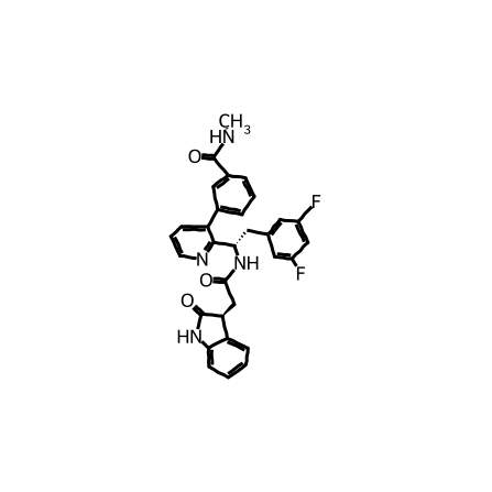 CNC(=O)c1cccc(-c2cccnc2[C@H](Cc2cc(F)cc(F)c2)NC(=O)C[C@@H]2C(=O)Nc3ccccc32)c1